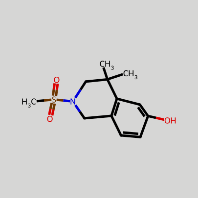 CC1(C)CN(S(C)(=O)=O)Cc2ccc(O)cc21